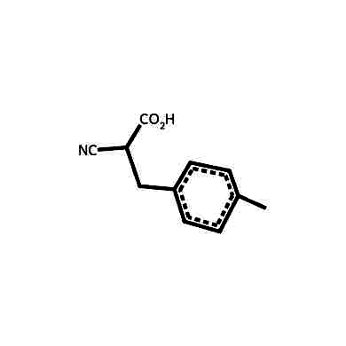 Cc1ccc(CC(C#N)C(=O)O)cc1